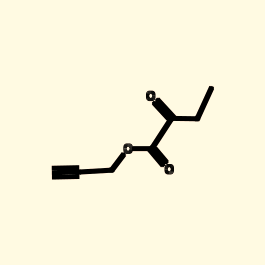 C#CCOC(=O)C(=O)CC